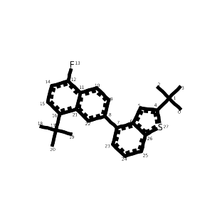 CC(C)(C)c1cc2c(-c3ccc4c(F)ccc(C(C)(C)C)c4c3)cccc2s1